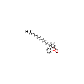 CCCCCCCCCCCCCCc1cc[c]c(OC=O)c1C1CCCCC1